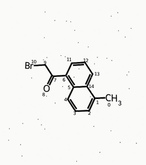 Cc1cccc2c(C(=O)CBr)cccc12